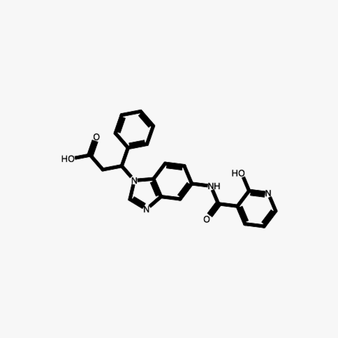 O=C(O)CC(c1ccccc1)n1cnc2cc(NC(=O)c3cccnc3O)ccc21